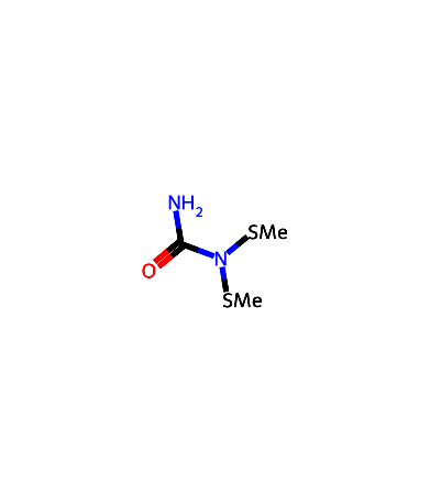 CSN(SC)C(N)=O